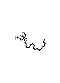 CC/C=C\C/C=C\C/C=C\C/C=C\C/C=C\CCOC(CC)(CC)C(=O)O